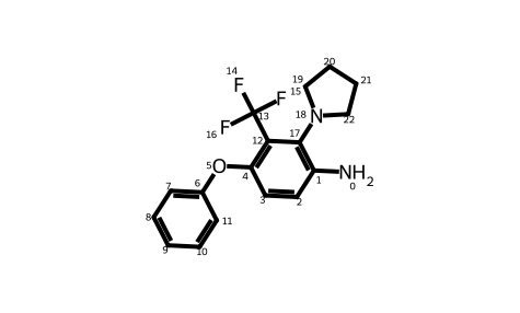 Nc1ccc(Oc2ccccc2)c(C(F)(F)F)c1N1CCCC1